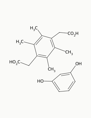 Cc1c(C)c(CC(=O)O)c(C)c(C)c1CC(=O)O.Oc1cccc(O)c1